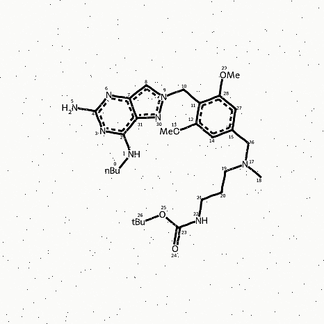 CCCCNc1nc(N)nc2cn(Cc3c(OC)cc(CN(C)CCCNC(=O)OC(C)(C)C)cc3OC)nc12